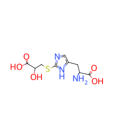 N[C@@H](Cc1cnc(SCC(O)C(=O)O)[nH]1)C(=O)O